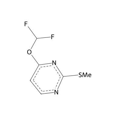 CSc1nccc(OC(F)F)n1